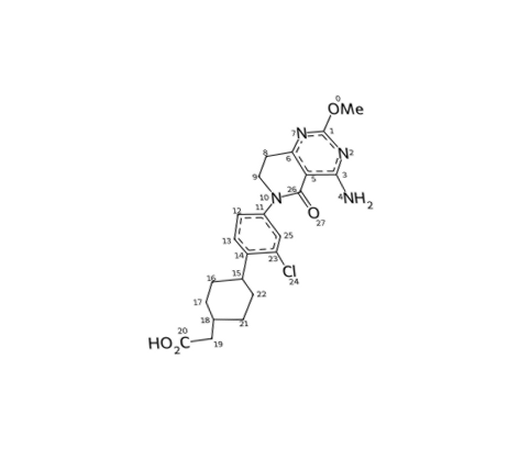 COc1nc(N)c2c(n1)CCN(c1ccc(C3CCC(CC(=O)O)CC3)c(Cl)c1)C2=O